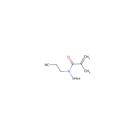 C=C(C)C(=O)N(CCC#N)CCCCCC